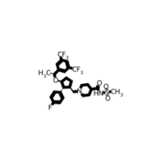 C[C@@H](O[C@H]1CC[C@@H](CN2CCC(C(=O)NS(C)(=O)=O)CC2)[C@@H]1c1ccc(F)cc1)c1cc(C(F)(F)F)cc(C(F)(F)F)c1